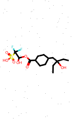 CCC(O)(CC)CC1CCC(C(=O)OC(O)C(F)(F)S(=O)(=O)O)CC1